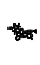 CCCC(NC(=O)C1C2CCCC2CN1C(=O)[C@@H](N(C(=O)O)C(C)(C)C)C(C)(C)C)C(=O)C(=O)NC1CC1